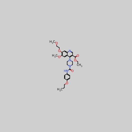 CCCOc1ccc(NC(=O)N2CCN(c3c(C(=O)OCC)cnc4cc(OCCOC)c(OC)cc34)CC2)cc1